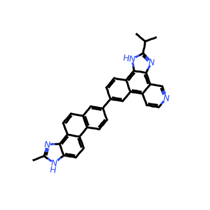 Cc1nc2c(ccc3c4ccc(-c5ccc6c(c5)c5ccncc5c5nc(C(C)C)[nH]c65)cc4ccc32)[nH]1